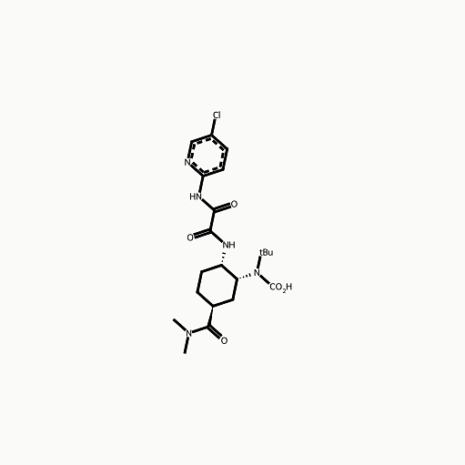 CN(C)C(=O)[C@H]1CC[C@H](NC(=O)C(=O)Nc2ccc(Cl)cn2)[C@H](N(C(=O)O)C(C)(C)C)C1